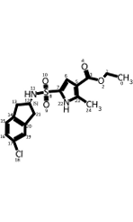 CCOC(=O)c1cc(S(=O)(=O)N[C@H]2Cc3ccc(Cl)cc3C2)[nH]c1C